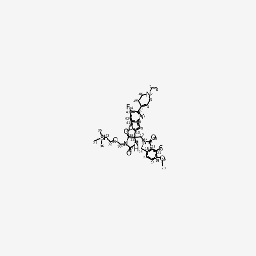 CCN1CC=C(c2nc3cc(C4(CN5Cc6ccc(OC)c(F)c6C5=O)NC(=O)N(COCC[Si](C)(C)C)C4=O)oc3cc2F)CC1